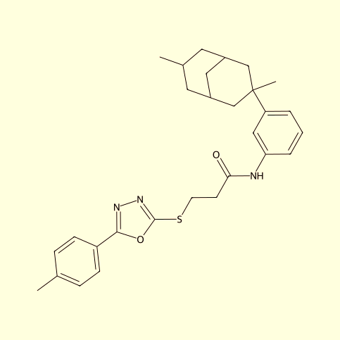 Cc1ccc(-c2nnc(SCCC(=O)Nc3cccc(C4(C)CC5CC(C)CC(C5)C4)c3)o2)cc1